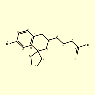 CCC1(CC)[CH]C(SCCC(=O)O)Cc2ccc(O)cc21